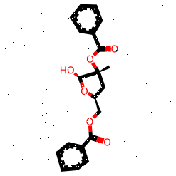 C[C@@]1(OC(=O)c2ccccc2)C[C@@H](COC(=O)c2ccccc2)O[C@H]1O